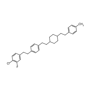 Cc1ccc(CCC2CCC(CCc3ccc(CCc4ccc(Cl)c(F)c4)cc3)CC2)cc1